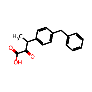 CC(C(=O)C(=O)O)c1ccc(Cc2ccccc2)cc1